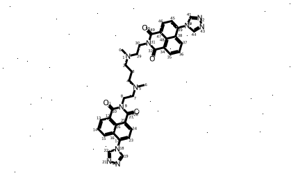 CN(CCCN(C)CCN1C(=O)c2cccc3c(-n4cnnc4)ccc(c23)C1=O)CCN1C(=O)c2cccc3c(-n4cnnc4)ccc(c23)C1=O